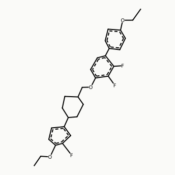 CCOc1ccc(-c2ccc(OCC3CCC(c4ccc(OCC)c(F)c4)CC3)c(F)c2F)cc1